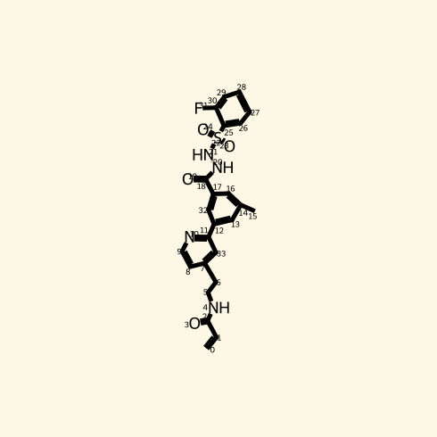 C=CC(=O)NCCc1ccnc(-c2cc(C)cc(C(=O)NNS(=O)(=O)c3ccccc3F)c2)c1